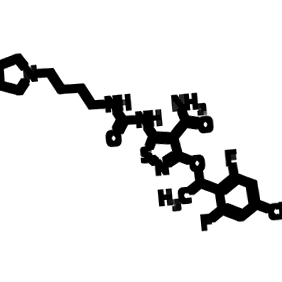 CC(Oc1nsc(NC(=O)NCCCCN2CCCC2)c1C(N)=O)c1c(F)cc(Cl)cc1F